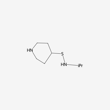 CC(C)NSC1CCNCC1